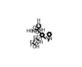 Cc1nc2ccccc2n1Cc1ccc(C(=O)NC2(CC(=O)NO)CCNCC2)cc1.O=C(O)C(F)(F)F.O=C(O)C(F)(F)F